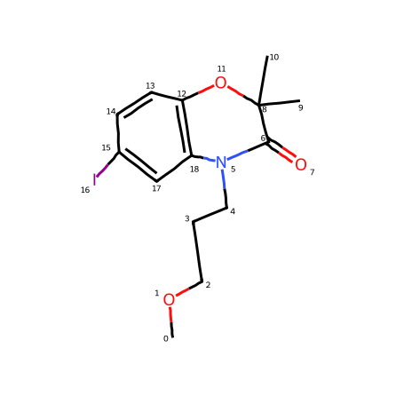 COCCCN1C(=O)C(C)(C)Oc2ccc(I)cc21